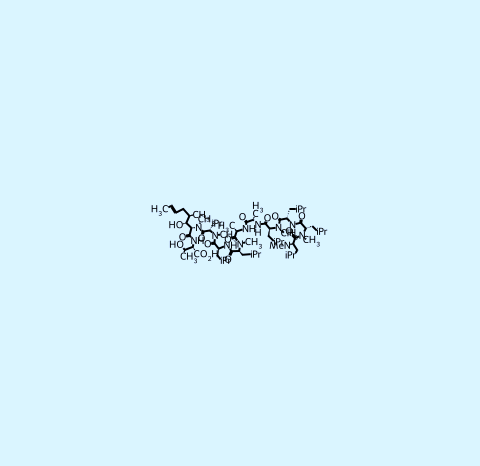 C/C=C/C[C@@H](C)[C@@H](O)[C@@H](C(=O)N[C@H](C(=O)O)[C@@H](C)O)N(C)C(=O)[C@H](C(C)C)N(C)C(=O)[C@H](CC(C)C)NC(=O)[C@H](CC(C)C)N(C)C(=O)[C@@H](C)NC(=O)[C@H](C)NC(=O)[C@H](CC(C)C)N(C)C(=O)[C@H](CC(C)C)NC(=O)[C@H](CC(C)C)N(C)C(=O)[C@@H](CC(C)C)NC